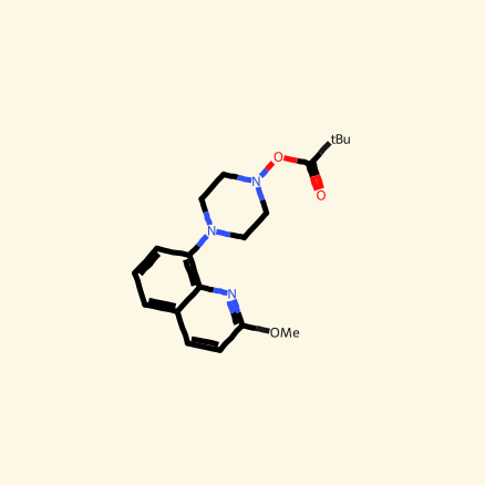 COc1ccc2cccc(N3CCN(OC(=O)C(C)(C)C)CC3)c2n1